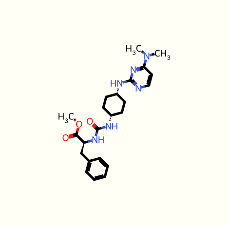 COC(=O)[C@H](Cc1ccccc1)NC(=O)N[C@H]1CC[C@@H](Nc2nccc(N(C)C)n2)CC1